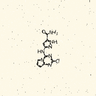 NC(=O)c1cc(Nc2nc(Cl)nc3cccn23)n[nH]1